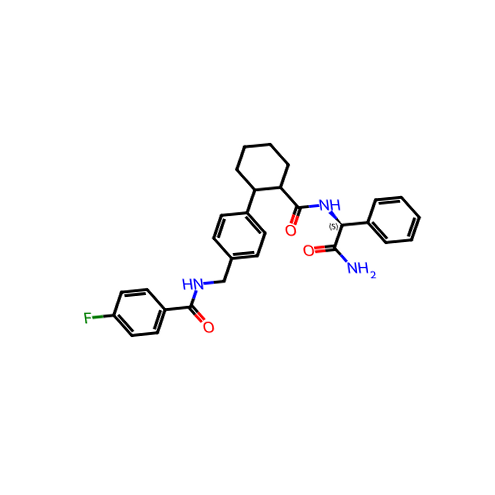 NC(=O)[C@@H](NC(=O)C1CCCCC1c1ccc(CNC(=O)c2ccc(F)cc2)cc1)c1ccccc1